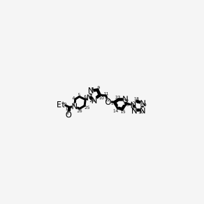 CCC(=O)N1CCC(n2ncc(COc3ccc(-n4cnnn4)nc3)n2)CC1